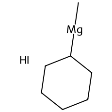 I.[CH3][Mg][CH]1CCCCC1